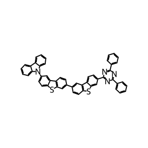 c1ccc(-c2nc(-c3ccccc3)nc(-c3ccc4c(c3)sc3ccc(-c5ccc6c(c5)sc5ccc(-n7c8ccccc8c8ccccc87)cc56)cc34)n2)cc1